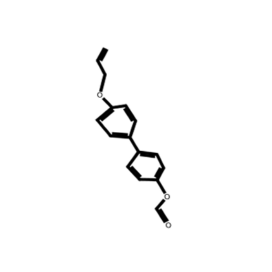 C=CCOc1ccc(-c2ccc(OC=O)cc2)cc1